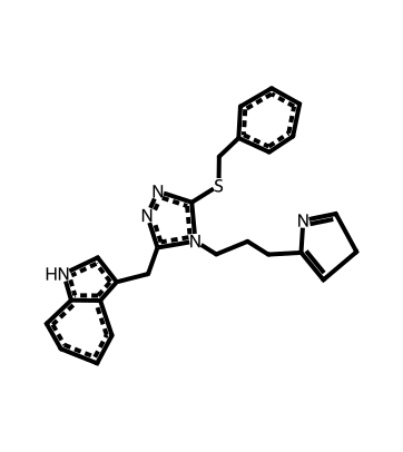 C1=NC(CCCn2c(Cc3c[nH]c4ccccc34)nnc2SCc2ccccc2)=CC1